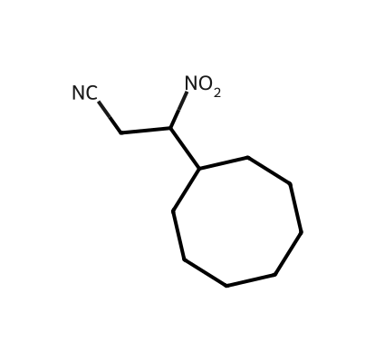 N#CCC(C1CCCCCCC1)[N+](=O)[O-]